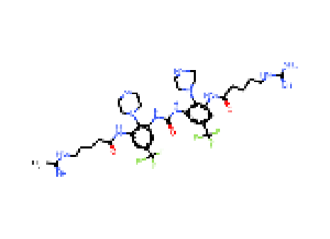 CC(=N)NCCCCC(=O)Nc1cc(C(F)(F)F)cc(NC(=O)Nc2cc(C(F)(F)F)cc(NC(=O)CCCCNC(=N)N)c2N2CCNCC2)c1N1CCNCC1